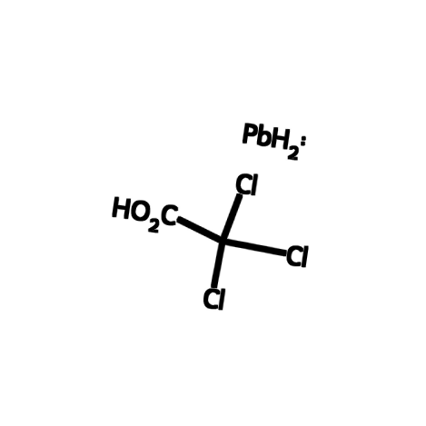 O=C(O)C(Cl)(Cl)Cl.[PbH2]